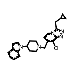 Clc1c(CN2CCC(n3ccc4ccccc43)CC2)ccn2c(CC3CC3)nnc12